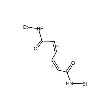 CCNC(=O)/C=C\C=C/C(=O)NCC